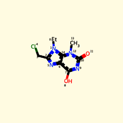 CCn1c(CCl)nc2c(O)nc(=O)n(C)c21